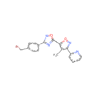 FC(F)(F)c1c(-c2ccccn2)noc1-c1nc(-c2ccc(CBr)cc2)no1